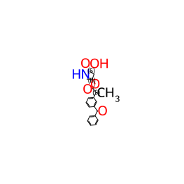 C[C@H](C(=O)O[C@H]1CN[C@H](C(=O)O)C1)c1cccc(C(=O)c2ccccc2)c1